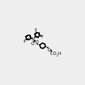 O=C(O)COC[C@H]1CC[C@H](COC(=O)N(c2cccc(F)c2)c2cc(F)cc(F)c2)CC1